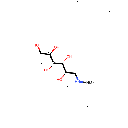 CNNC[C@H](O)[C@@H](O)[C@H](O)[C@H](O)CO